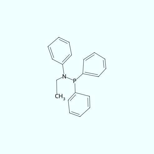 CCN(c1ccccc1)P(c1ccccc1)c1ccccc1